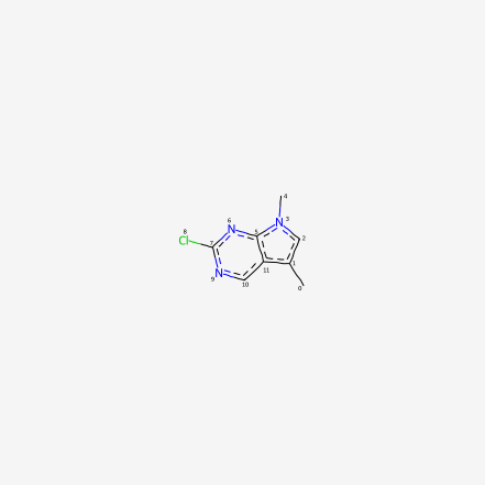 Cc1cn(C)c2nc(Cl)ncc12